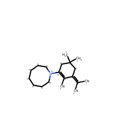 CC1(C)CC(=C(C#N)C#N)C(C#N)=C(N2CCCCCCC2)C1